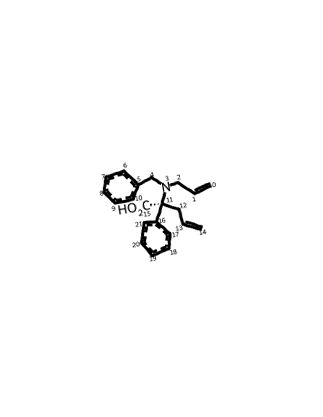 C=CCN(Cc1ccccc1)[C@](CC=C)(C(=O)O)c1ccccc1